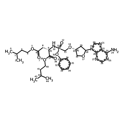 CC(C)CCOC(=O)C[C@H](NP(=O)(CO[C@H]1COC(n2cnc3c(N)ncnc32)C1)Oc1ccccc1)C(=O)OCCC(C)C